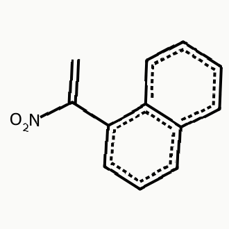 C=C(c1cccc2ccccc12)[N+](=O)[O-]